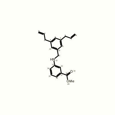 C=CCc1cc(CC=C)cc(CNc2cccc(C(=O)OC)c2)c1